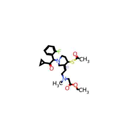 CCOC(=O)CN(C)C/C=C1\CN(C(C(=O)C2CC2)c2ccccc2F)CCC1SC(C)=O